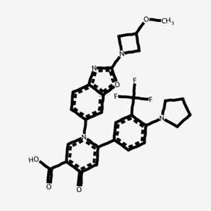 COC1CN(c2nc3ccc(-n4cc(C(=O)O)c(=O)cc4-c4ccc(N5CCCC5)c(C(F)(F)F)c4)cc3o2)C1